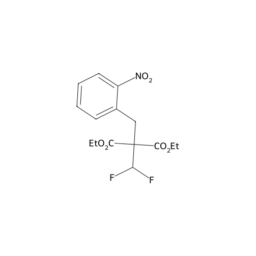 CCOC(=O)C(Cc1ccccc1[N+](=O)[O-])(C(=O)OCC)C(F)F